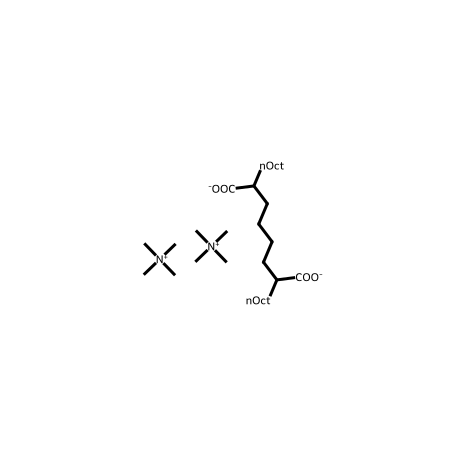 CCCCCCCCC(CCCCC(CCCCCCCC)C(=O)[O-])C(=O)[O-].C[N+](C)(C)C.C[N+](C)(C)C